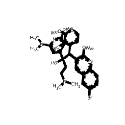 COc1cc(C(O)(CCN(C)C)C(c2cc3cc(Br)ccc3nc2OC)c2ccnc(OC)c2OC)cc(N(C)C)n1